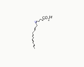 CC=CCC=CCC=CCC=CC/C=C\CCCC(=O)O